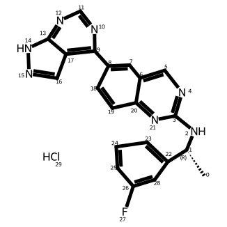 C[C@@H](Nc1ncc2cc(-c3ncnc4[nH]ncc34)ccc2n1)c1cccc(F)c1.Cl